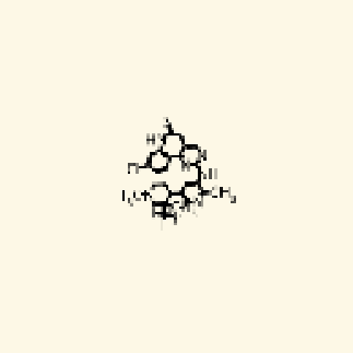 Cc1nc(C)c(C2CCN(C)CC2(C)C(I)(I)I)cc1Nc1ncc2c(n1)-c1ccc(Cl)cc1NC(=S)C2